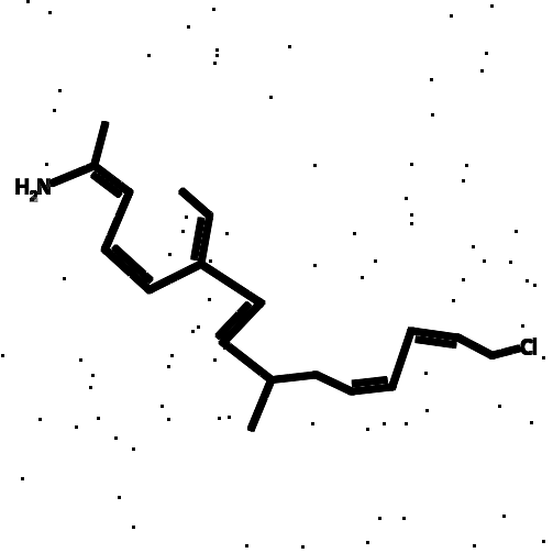 C/C=C(\C=C/C=C(/C)N)/C=C/C(C)C/C=C\C=C/CCl